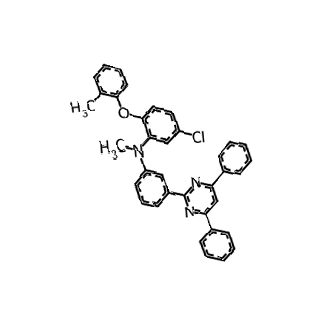 Cc1ccccc1Oc1ccc(Cl)cc1N(C)c1cccc(-c2nc(-c3ccccc3)cc(-c3ccccc3)n2)c1